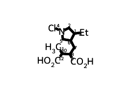 CCC1CN(Cl)CC1CC(C(=O)O)C(C)C(=O)O